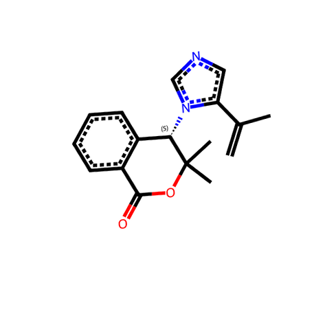 C=C(C)c1cncn1[C@H]1c2ccccc2C(=O)OC1(C)C